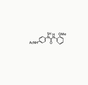 COc1ccccc1NC(=O)N(S)c1ccc(NC(C)=O)cc1